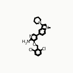 Cn1cc(N2CCCCC2)c2cc(-c3cnc(N)c(OCc4c(Cl)cccc4Cl)c3)ccc21